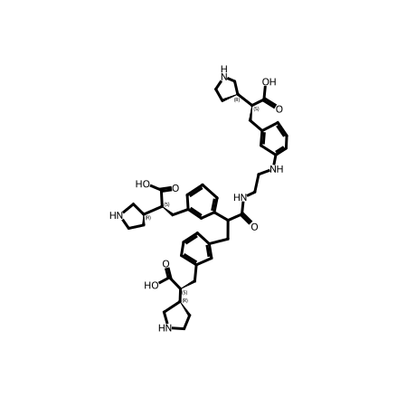 O=C(NCCNc1cccc(C[C@H](C(=O)O)[C@H]2CCNC2)c1)C(Cc1cccc(C[C@H](C(=O)O)[C@H]2CCNC2)c1)c1cccc(C[C@H](C(=O)O)[C@H]2CCNC2)c1